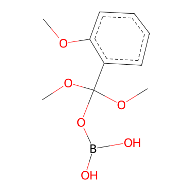 COc1ccccc1C(OC)(OC)OB(O)O